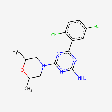 CC1CN(c2nc(N)nc(-c3cc(Cl)ccc3Cl)n2)CC(C)O1